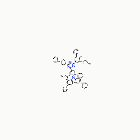 C=C/C=C\C(C)/C(=C/C(=C\Cc1ccccc1)c1nc(C2=CCC(c3ccccc3)C=C2)nc(-c2cc(/C(C=C)=C/C=C)c(-n3c4ccc(-c5ccccc5)cc4c4cc(-c5ccccc5)ccc43)c(-c3ccccc3)c2)n1)CC